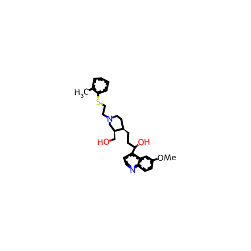 COc1ccc2nccc(C(O)CC[C@@H]3CCN(CCSc4ccccc4C)C[C@@H]3CO)c2c1